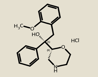 COc1ccccc1C[C@](O)(c1ccccc1)[C@H]1CNCCO1.Cl